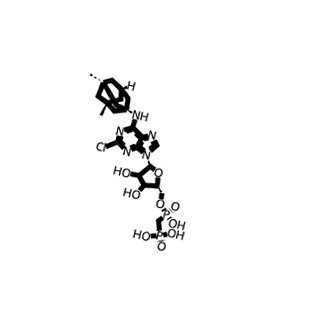 C[C@]12C[C@@H]3C[C@](C)(C1)C[C@@](Nc1nc(Cl)nc4c1ncn4[C@@H]1O[C@H](COP(=O)(O)CP(=O)(O)O)C(O)C1O)(C3)C2